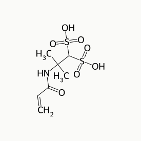 C=CC(=O)NC(C)(C)C(S(=O)(=O)O)S(=O)(=O)O